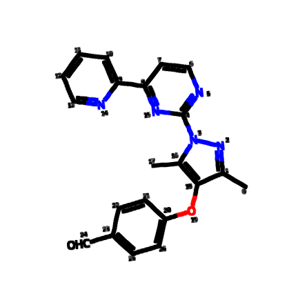 Cc1nn(-c2nccc(-c3ccccn3)n2)c(C)c1Oc1ccc(C=O)cc1